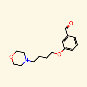 O=Cc1cccc(OCCCCN2CCOCC2)c1